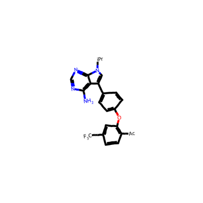 CC(=O)c1ccc(C(F)(F)F)cc1Oc1ccc(-c2cn(C(C)C)c3ncnc(N)c23)cc1